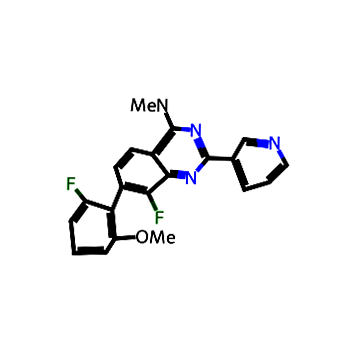 CNc1nc(-c2cccnc2)nc2c(F)c(-c3c(F)cccc3OC)ccc12